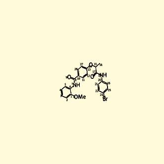 COc1ccccc1NC(=O)c1ccc(OC(C)C(=O)Nc2ccc(Br)cc2)cc1